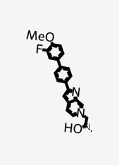 COc1ccc(-c2ccc(-c3cc4ccn(C[C@H](C)O)cc-4n3)cc2)cc1F